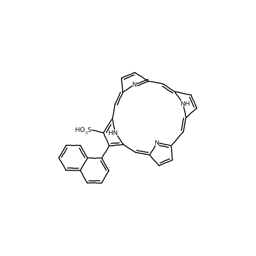 O=S(=O)(O)c1c(-c2cccc3ccccc23)c2cc3nc(cc4ccc(cc5nc(cc1[nH]2)C=C5)[nH]4)C=C3